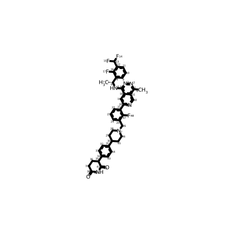 Cc1nnc(N[C@H](C)c2cccc(C(F)F)c2F)c2cc(-c3cccc(CN4CCC(c5ccc(C6CCC(=O)NC6=O)cc5)CC4)c3F)ncc12